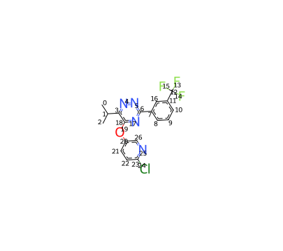 CC(C)c1nnc(-c2cccc(C(F)(F)F)c2)nc1Oc1ccc(Cl)nc1